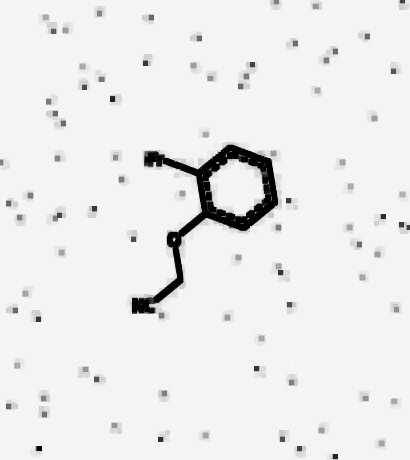 CC(C)c1ccccc1OCC#N